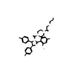 CCOc1cc(C(F)(F)F)ccc1C1=NC(c2ccc(Cl)cc2)C(c2ccc(Cl)cc2)N1C(=O)N1CCN(C(=O)CNCCO)CC1